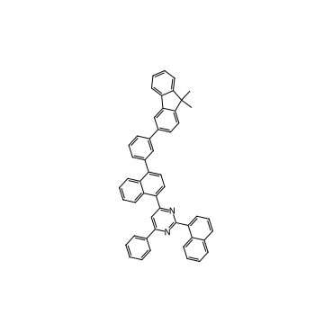 CC1(C)c2ccccc2-c2cc(-c3cccc(-c4ccc(-c5cc(-c6ccccc6)nc(-c6cccc7ccccc67)n5)c5ccccc45)c3)ccc21